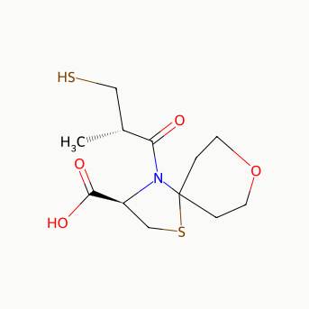 C[C@H](CS)C(=O)N1[C@H](C(=O)O)CSC12CCOCC2